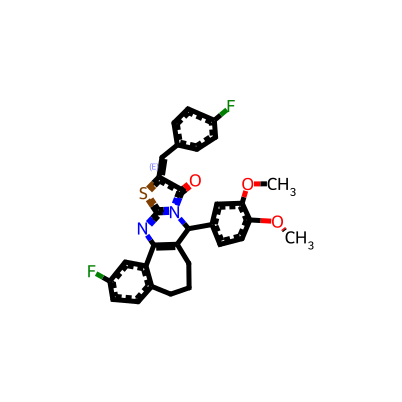 COc1ccc(C2C3=C(N=c4s/c(=C/c5ccc(F)cc5)c(=O)n42)c2cc(F)ccc2CCC3)cc1OC